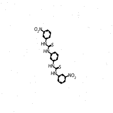 O=[N+]([O-])c1cccc(NC(=S)Nc2cccc(NC(=S)Nc3cccc([N+](=O)[O-])c3)c2)c1